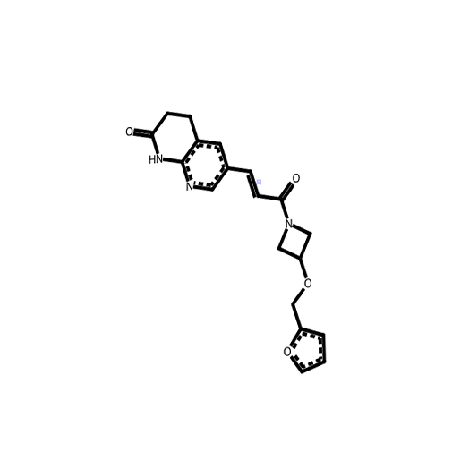 O=C1CCc2cc(/C=C/C(=O)N3CC(OCc4ccco4)C3)cnc2N1